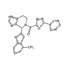 Cc1cccn2nc(C3c4nc[nH]c4CCN3C(=O)c3nnc(-c4cncnc4)o3)cc12